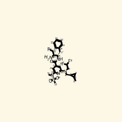 CC1CC1CN(CC(F)F)c1cc(C(=O)N[C@@H](Cc2ccccc2)C(N)CF)cc(N(C)S(C)(=O)=O)n1